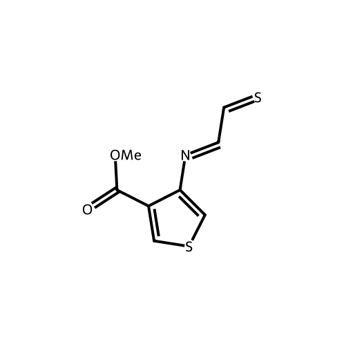 COC(=O)c1cscc1N=CC=S